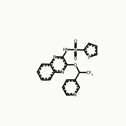 O=S(=O)(Nc1nc2ccccc2nc1OC(c1cccnc1)C(F)(F)F)c1cccs1